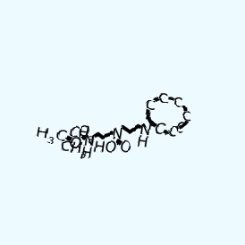 CC(C)(C)OC(=O)NCCCN(CCCNC1CCCCCCCCCCCCCC1)C(=O)O